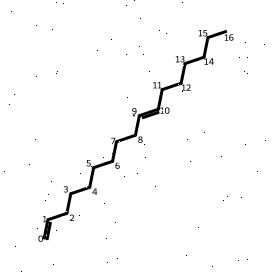 C=CCCCCCCC/[C]=C/CCCCCC